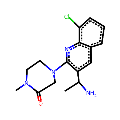 CC(N)c1cc2cccc(Cl)c2nc1N1CCN(C)C(=O)C1